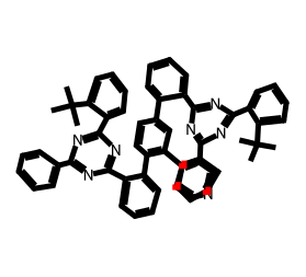 CC(C)(C)c1ccccc1-c1nc(-c2ccccc2)nc(-c2ccccc2-c2ccc(-c3ccccc3-c3nc(-c4ccccc4)nc(-c4ccccc4C(C)(C)C)n3)c(-c3ccncc3)c2)n1